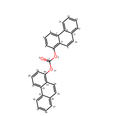 O=C(Oc1cccc2c1ccc1ccccc12)Oc1cccc2c1ccc1ccccc12